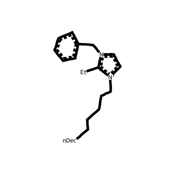 CCCCCCCCCCCCCCC[n+]1ccn(Cc2ccccc2)c1CC